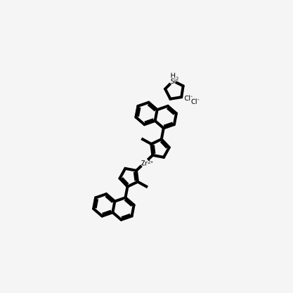 C1CC[SiH2]C1.CC1=[C]([Zr+2][C]2=C(C)C(c3cccc4ccccc34)=CC2)CC=C1c1cccc2ccccc12.[Cl-].[Cl-]